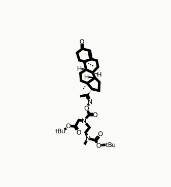 C/C(=N\OC(=O)N(CCN(C)C(=O)OC(C)(C)C)CC(=O)OC(C)(C)C)[C@H]1CC[C@H]2[C@@H]3CCC4=CC(=O)CC[C@]4(C)[C@H]3CC[C@]12C